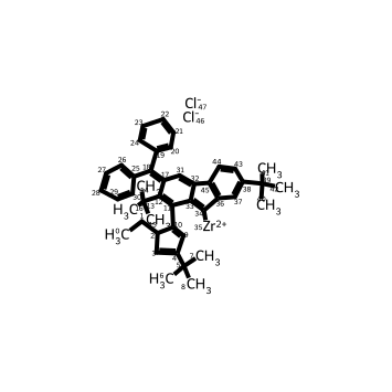 CCC1C=C(C(C)(C)C)C=C1c1c(C(C)(C)C)c(=C(c2ccccc2)c2ccccc2)cc2c1=[C]([Zr+2])c1cc(C(C)(C)C)ccc1-2.[Cl-].[Cl-]